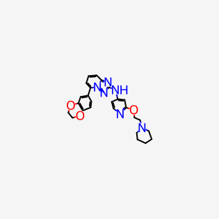 c1cc(-c2ccc3c(c2)OCCO3)n2nc(Nc3ccnc(OCCN4CCCCC4)c3)nc2c1